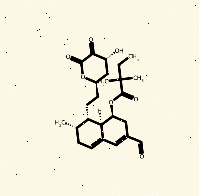 CCC(C)(C)C(=O)O[C@H]1CC(C=O)=CC2=CC[C@H](C)[C@H](CC[C@@H]3C[C@@H](O)C(=O)C(=O)O3)[C@H]21